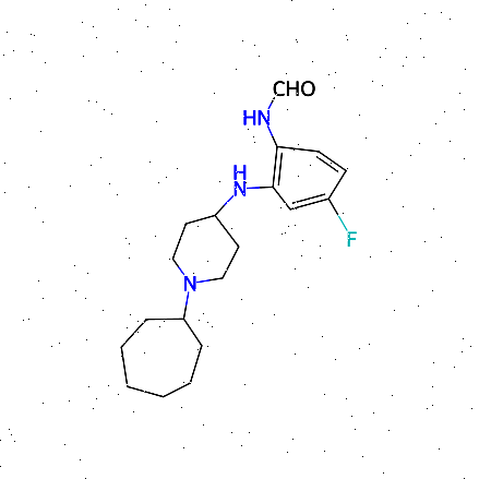 O=CNc1ccc(F)cc1NC1CCN(C2CCCCCC2)CC1